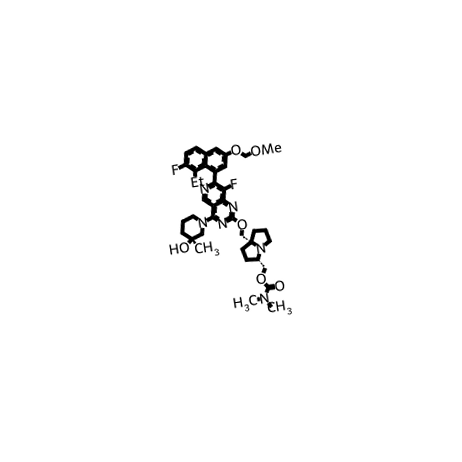 CCc1c(F)ccc2cc(OCOC)cc(-c3ncc4c(N5CCC[C@@](C)(O)C5)nc(OC[C@]56CCCN5[C@H](COC(=O)N(C)C)CC6)nc4c3F)c12